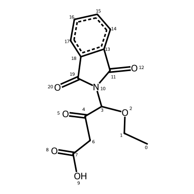 CCOC(C(=O)CC(=O)O)N1C(=O)c2ccccc2C1=O